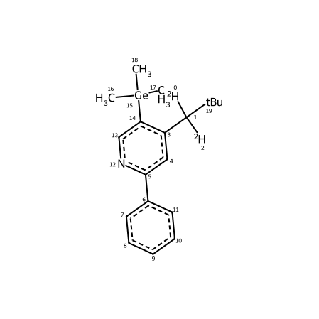 [2H]C([2H])(c1cc(-c2ccccc2)nc[c]1[Ge]([CH3])([CH3])[CH3])C(C)(C)C